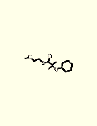 COCCSC(=O)C(C)(C)OC1CCCCC1